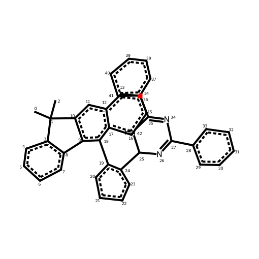 CC1(C)c2ccccc2-c2c1cc1ccccc1c2-c1ccccc1C1N=C(c2ccccc2)N=C(c2ccccc2)N1